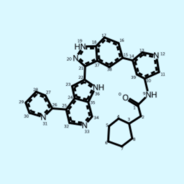 O=C(CC1CCCCC1)Nc1cncc(-c2ccc3[nH]nc(-c4cc5c(-c6ccccn6)cncc5[nH]4)c3c2)c1